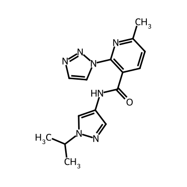 Cc1ccc(C(=O)Nc2cnn(C(C)C)c2)c(-n2ccnn2)n1